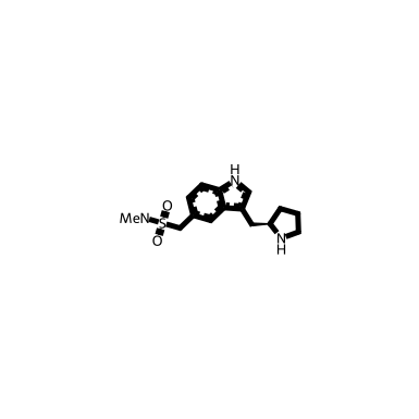 CNS(=O)(=O)Cc1ccc2[nH]cc(C[C@H]3CCCN3)c2c1